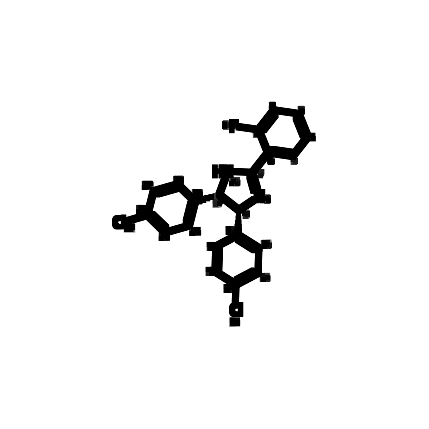 Fc1ccccc1C1=N[C@H](c2ccc(Cl)cc2)[C@H](c2ccc(Cl)cc2)N1